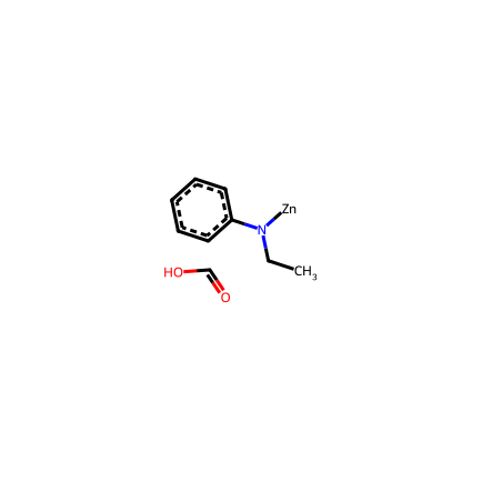 CC[N]([Zn])c1ccccc1.O=CO